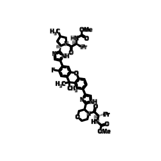 COC(=O)N[C@H](C(=O)N1CCOCC1c1nc(-c2ccc3c(c2)C(C)(C)c2cc(F)c(-c4cnc([C@@H]5CC(C)CN5C(=O)[C@@H](NC(=O)OC)C(C)C)[nH]4)cc2O3)c[nH]1)C(C)C